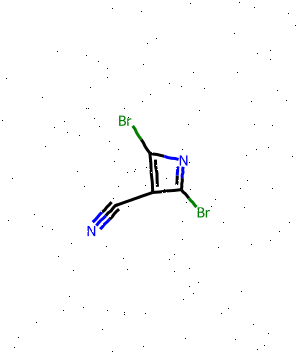 N#CC1=C(Br)N=C1Br